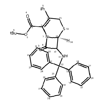 CC(C)C1=C(C(=O)OC(C)(C)C)N2C(=O)C(NC(c3ccccc3)(c3ccccc3)c3ccccc3)[C@@H]2SC1